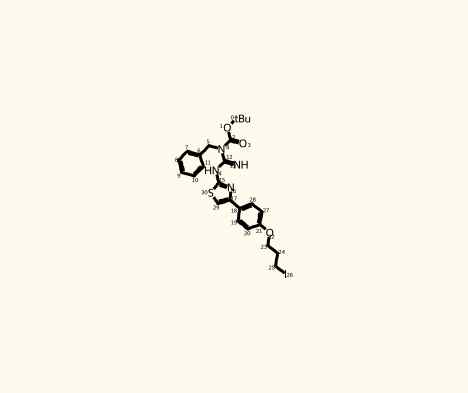 CC(C)(C)OC(=O)N(Cc1ccccc1)C(=N)Nc1nc(-c2ccc(OCCCI)cc2)cs1